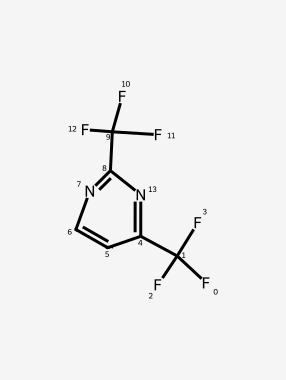 FC(F)(F)c1[c]cnc(C(F)(F)F)n1